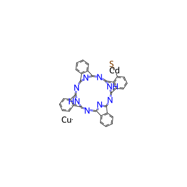 [Cu].[S]=[Cd][c]1cccc2c3nc4nc(nc5[nH]c(nc6nc(nc([nH]3)c12)-c1ccccc1-6)c1ccccc51)-c1ccccc1-4